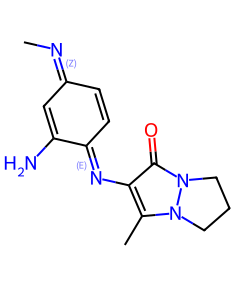 C/N=C1C=C/C(=N\c2c(C)n3n(c2=O)CCC3)C(N)=C/1